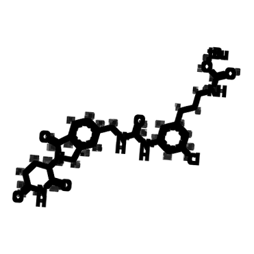 CC(C)(C)OC(=O)NCCCc1cc(Cl)cc(NC(=O)NCc2ccc3c(c2)CN(C2CCC(=O)NC2=O)C3=O)c1